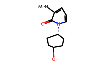 CNc1cccn([C@H]2CC[C@H](O)CC2)c1=O